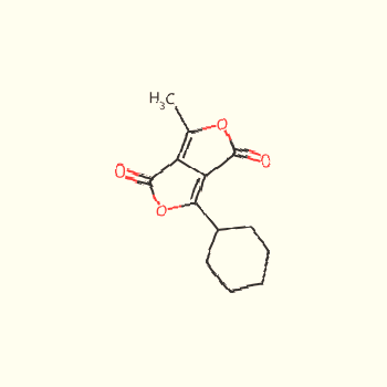 CC1=C2C(=O)OC(C3CCCCC3)=C2C(=O)O1